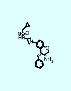 N[C@H]1COc2ccc(N3CC(NS(=O)(=O)CC4CC4)C3)cc2[C@H]1Cc1ccccc1